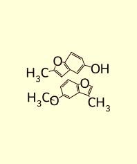 COc1ccc2occ(C)c2c1.Cc1cc2cc(O)ccc2o1